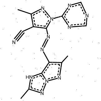 Cc1nn2nc(C)c(/N=N/c3c(C#N)c(C)nn3-c3ncncn3)c2[nH]1